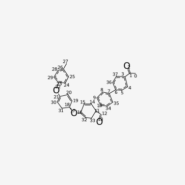 CC(=O)c1ccc(-c2ccc([C@@]3(C=O)C=CC(O[C@@H]4C=CC(Oc5ccc(C)cc5)=CC4)=CC3)cc2)cc1